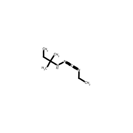 CCN=C=NNC(C)(C)CC